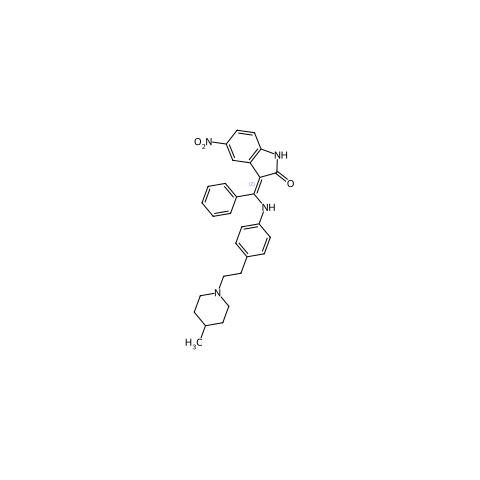 CC1CCN(CCc2ccc(N/C(=C3\C(=O)Nc4ccc([N+](=O)[O-])cc43)c3ccccc3)cc2)CC1